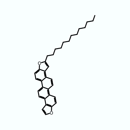 CCCCCCCCCCCCCc1cc2c(ccc3c2ccc2c4ccc5occc5c4ccc32)o1